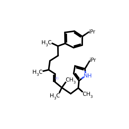 CC(/C=C/C(C)(C)CC(C)c1ccc(C(C)C)[nH]1)CCC(C)c1ccc(C(C)C)cc1